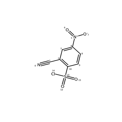 N#Cc1cc([N+](=O)[O-])ccc1S(=O)(=O)Cl